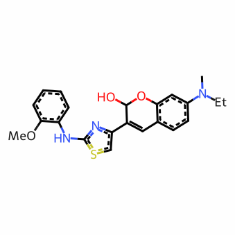 CCN(C)c1ccc2c(c1)OC(O)C(c1csc(Nc3ccccc3OC)n1)=C2